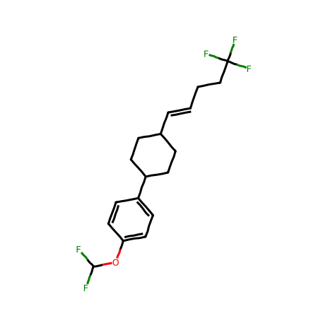 FC(F)Oc1ccc(C2CCC(/C=C/CCC(F)(F)F)CC2)cc1